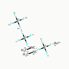 F[B-](F)(F)F.F[B-](F)(F)F.F[B-](F)(F)F.[Au+3].[C-]#[N+]C.[C-]#[N+]C